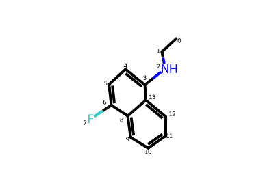 CCNc1ccc(F)c2ccccc12